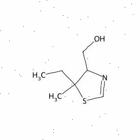 CCC1(C)SC=NC1CO